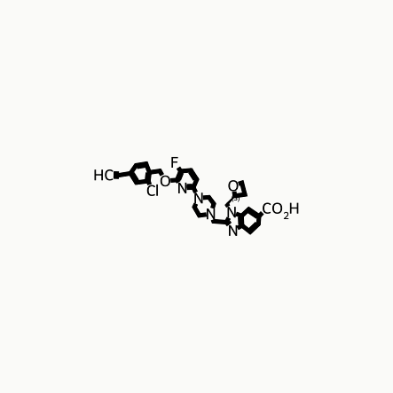 C#Cc1ccc(COc2nc(N3CCN(Cc4nc5ccc(C(=O)O)cc5n4C[C@@H]4CCO4)CC3)ccc2F)c(Cl)c1